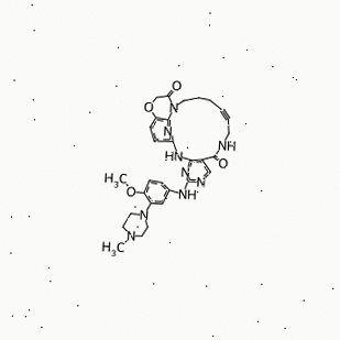 COc1ccc(Nc2ncc3c(n2)Nc2ccc4c(n2)N(CCCC#CCNC3=O)C(=O)CO4)cc1N1CCN(C)CC1